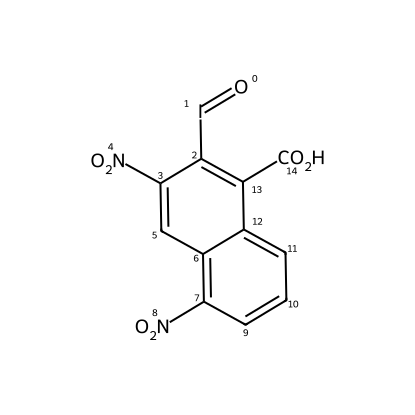 O=Ic1c([N+](=O)[O-])cc2c([N+](=O)[O-])cccc2c1C(=O)O